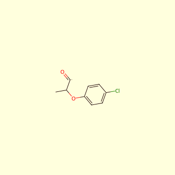 CC([C]=O)Oc1ccc(Cl)cc1